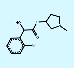 CN1CCC(OC(=O)C(O)c2ccccc2Br)C1